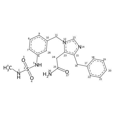 CNS(=O)(=O)Nc1cccc(Cn2cnc(Cc3ccccc3)c2CC(N)=O)c1